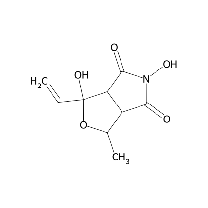 C=CC1(O)OC(C)C2C(=O)N(O)C(=O)C21